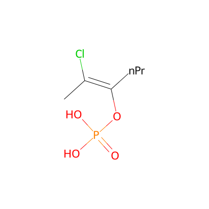 CCCC(OP(=O)(O)O)=C(C)Cl